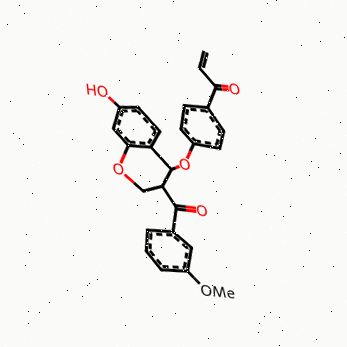 C=CC(=O)c1ccc(OC2c3ccc(O)cc3OCC2C(=O)c2cccc(OC)c2)cc1